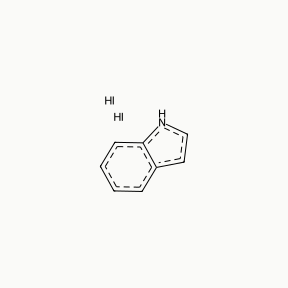 I.I.c1ccc2[nH]ccc2c1